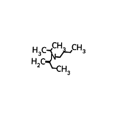 C=C(CC)N(CCCC)C(C)C